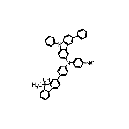 [C-]#[N+]c1ccc(N(c2ccc(-c3ccc4c(c3)C(C)(C)c3ccccc3-4)cc2)c2ccc3c(c2)c2cc(-c4ccccc4)ccc2n3-c2ccccc2)cc1